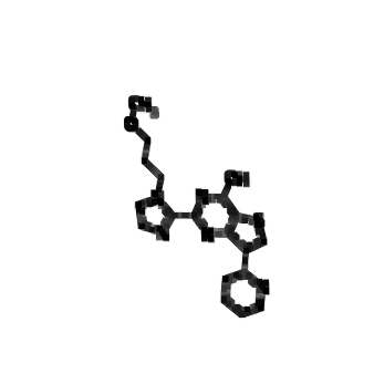 COCCCn1ccnc1-c1nc(O)c2scc(-c3ccccn3)c2n1